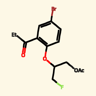 CCC(=O)c1cc(Br)ccc1OC(CF)COC(C)=O